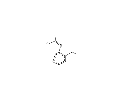 CCc1ccccc1N=C(C)Cl